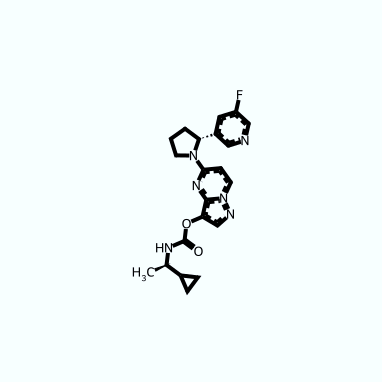 C[C@@H](NC(=O)Oc1cnn2ccc(N3CCC[C@@H]3c3cncc(F)c3)nc12)C1CC1